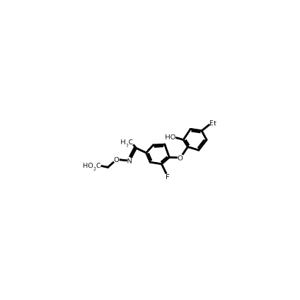 CCc1ccc(Oc2ccc(C(C)=NOCC(=O)O)cc2F)c(O)c1